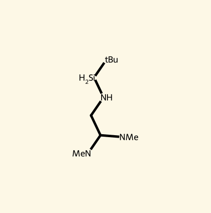 CNC(CN[SiH2]C(C)(C)C)NC